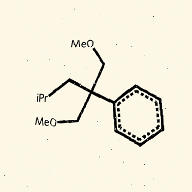 COCC(COC)(CC(C)C)c1ccccc1